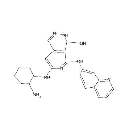 NC1CCCCC1Nc1cc2c(c(Nc3ccc4cccnc4c3)n1)C(O)NN=C2